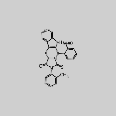 COc1ccccc1C1c2[nH]c3ccccc3c2CC2C(=O)N(c3ccccc3C)C(=S)N21